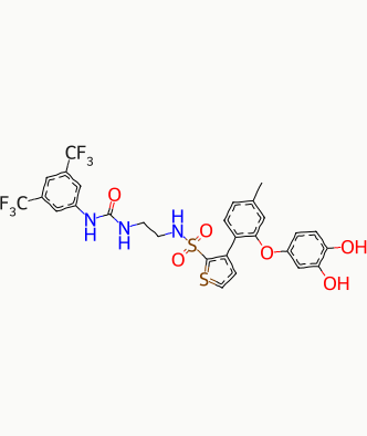 Cc1ccc(-c2ccsc2S(=O)(=O)NCCNC(=O)Nc2cc(C(F)(F)F)cc(C(F)(F)F)c2)c(Oc2ccc(O)c(O)c2)c1